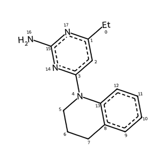 CCc1cc(N2CCCc3ccccc32)nc(N)n1